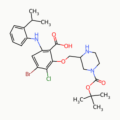 CC(C)c1ccccc1Nc1cc(Br)c(Cl)c(OCC2CN(C(=O)OC(C)(C)C)CCN2)c1C(=O)O